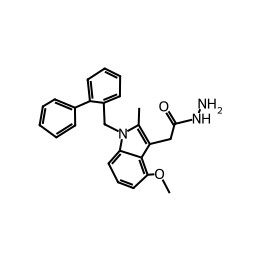 COc1cccc2c1c(CC(=O)NN)c(C)n2Cc1ccccc1-c1ccccc1